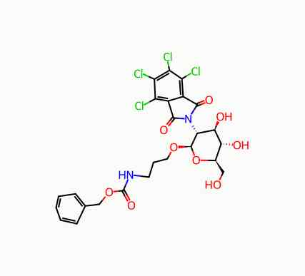 O=C(NCCCO[C@@H]1O[C@H](CO)[C@@H](O)[C@H](O)[C@H]1N1C(=O)c2c(Cl)c(Cl)c(Cl)c(Cl)c2C1=O)OCc1ccccc1